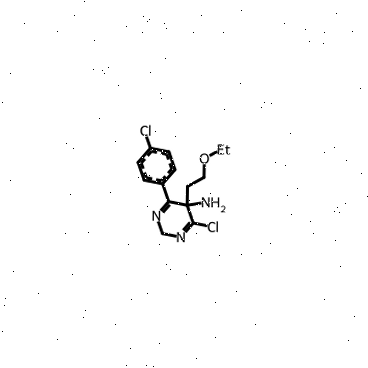 CCOCCC1(N)C(Cl)=NCN=C1c1ccc(Cl)cc1